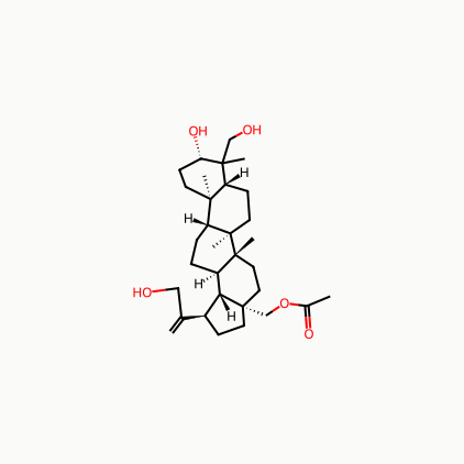 C=C(CO)[C@@H]1CC[C@]2(COC(C)=O)CC[C@]3(C)[C@H](CC[C@@H]4[C@@]5(C)CC[C@H](O)C(C)(CO)[C@@H]5CC[C@]43C)[C@@H]12